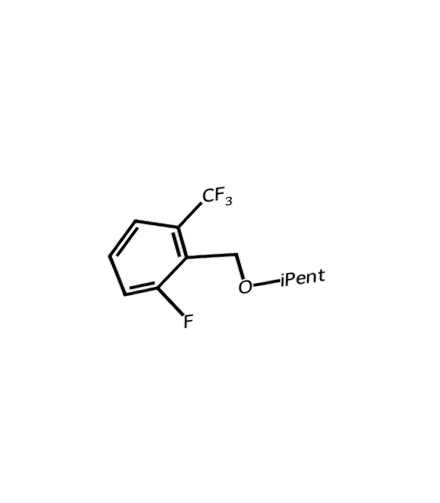 CCCC(C)OCc1c(F)cccc1C(F)(F)F